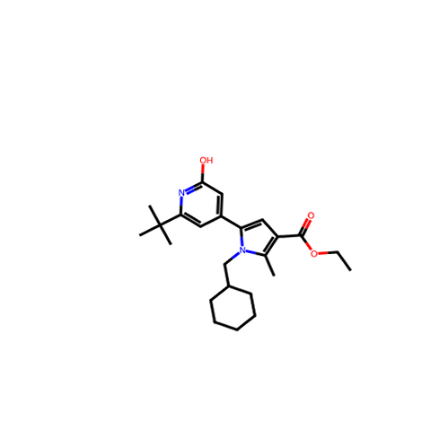 CCOC(=O)c1cc(-c2cc(O)nc(C(C)(C)C)c2)n(CC2CCCCC2)c1C